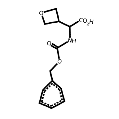 O=C(NC(C(=O)O)C1COC1)OCc1ccccc1